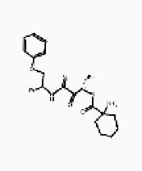 CCCC[C@H](NC(=O)C1(N)CCCCC1)C(=O)C(=O)NC(COc1ccccc1)C(C)C